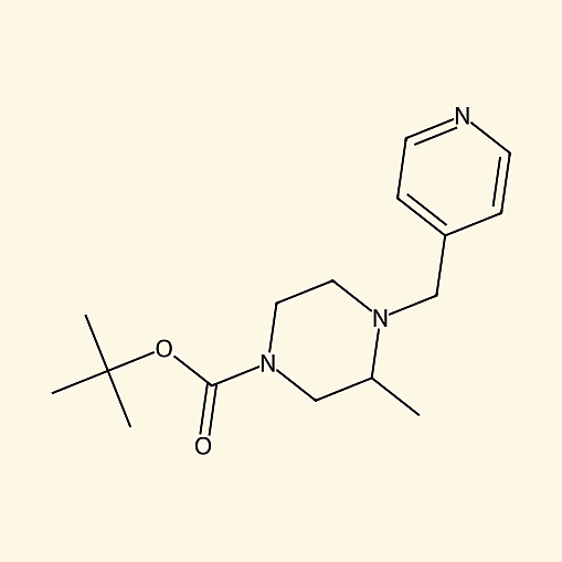 CC1CN(C(=O)OC(C)(C)C)CCN1Cc1ccncc1